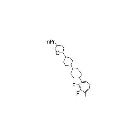 CCCC1CCC(C2CCC(C3CCC(C4=CCC=C(C)C(F)=C4F)CC3)CC2)OC1